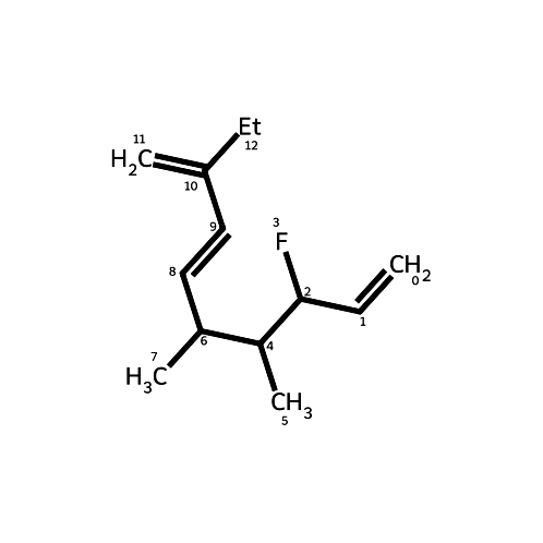 C=CC(F)C(C)C(C)/C=C/C(=C)CC